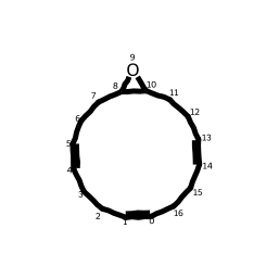 C1=C\CC/C=C\CCC2OC2CC/C=C\CC/1